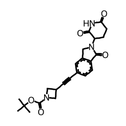 CC(C)(C)OC(=O)N1CC(C#Cc2ccc3c(c2)CN(C2CCC(=O)NC2=O)C3=O)C1